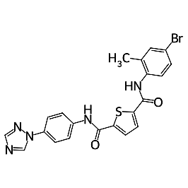 Cc1cc(Br)ccc1NC(=O)c1ccc(C(=O)Nc2ccc(-n3cncn3)cc2)s1